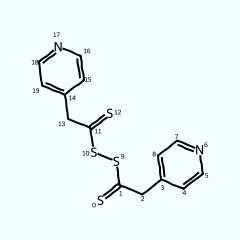 S=C(Cc1ccncc1)SSC(=S)Cc1ccncc1